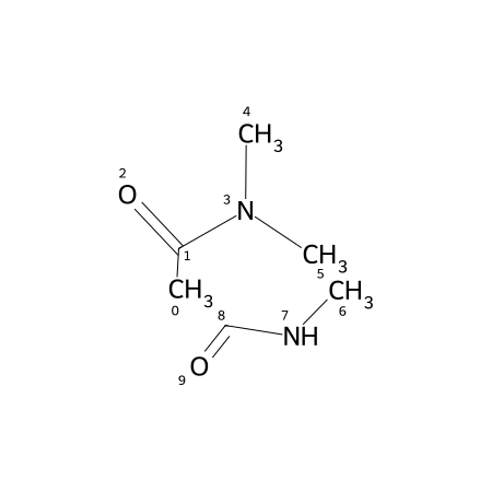 CC(=O)N(C)C.CNC=O